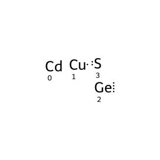 [Cd].[Cu].[Ge].[S]